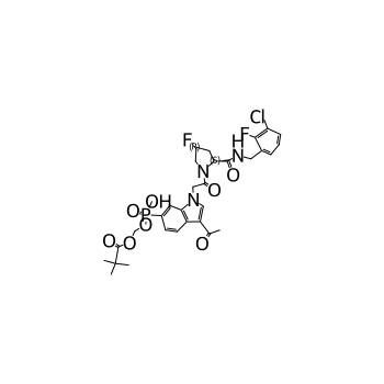 CC(=O)c1cn(CC(=O)N2C[C@H](F)C[C@H]2C(=O)NCc2cccc(Cl)c2F)c2cc(P(=O)(O)OCOC(=O)C(C)(C)C)ccc12